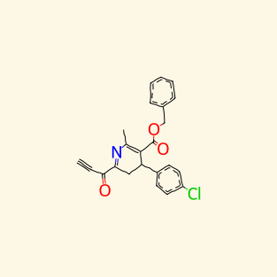 C#CC(=O)C1=NC(C)=C(C(=O)OCc2ccccc2)C(c2ccc(Cl)cc2)C1